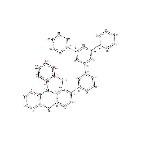 c1ccc([Si]23c4ccccc4Sc4ccc(-c5cccc(-c6cc(-c7ccncc7)cc(-c7ccncc7)c6)c5)c(c42)Sc2ccccc23)cc1